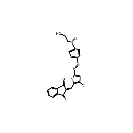 CCN(CCO)c1ccc(/N=N/c2nc(Cl)c(C=C3C(=O)c4ccccc4C3=O)s2)cc1